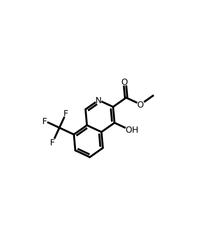 COC(=O)c1ncc2c(C(F)(F)F)cccc2c1O